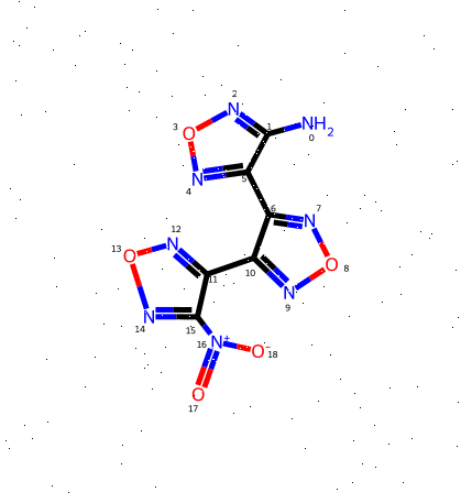 Nc1nonc1-c1nonc1-c1nonc1[N+](=O)[O-]